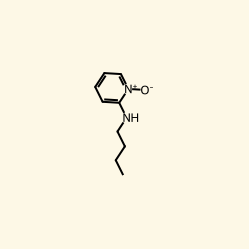 CCCCNc1cccc[n+]1[O-]